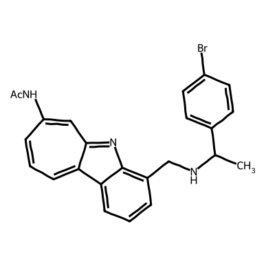 CC(=O)Nc1cccc2c3cccc(CNC(C)c4ccc(Br)cc4)c3nc-2c1